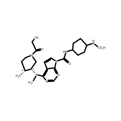 C[C@@H]1CCN(C(=O)CC#N)C[C@@H]1N(C)c1ncnc2c1ccn2C(=O)NC1CCC(NC(=O)O)CC1